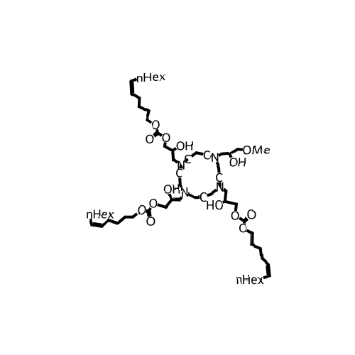 CCCCCC/C=C\CCCCOC(=O)OCC(O)CN1CCCN(CC(O)COC(=O)OCCCC/C=C\CCCCCC)CCN(CC(O)COC(=O)OCCCC/C=C\CCCCCC)CCCN(CC(O)COC)CC1